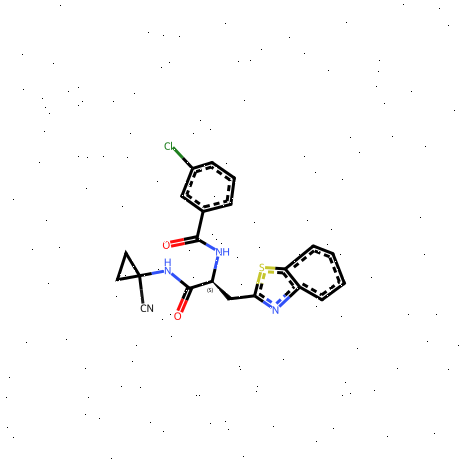 N#CC1(NC(=O)[C@H](Cc2nc3ccccc3s2)NC(=O)c2cccc(Cl)c2)CC1